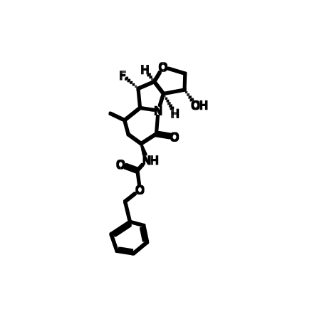 CC1C[C@H](NC(=O)OCc2ccccc2)C(=O)N2C1[C@H](F)[C@H]1OC[C@H](O)[C@H]12